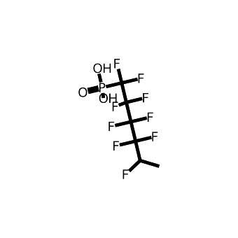 CC(F)C(F)(F)C(F)(F)C(F)(F)C(F)(F)P(=O)(O)O